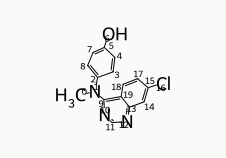 CN(c1ccc(O)cc1)c1ncnc2cc(Cl)ccc12